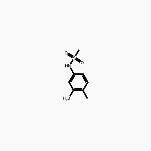 Bc1cc(NS(C)(=O)=O)ccc1C